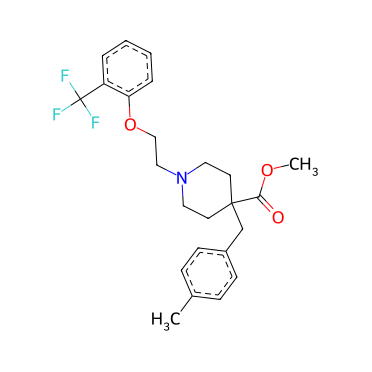 COC(=O)C1(Cc2ccc(C)cc2)CCN(CCOc2ccccc2C(F)(F)F)CC1